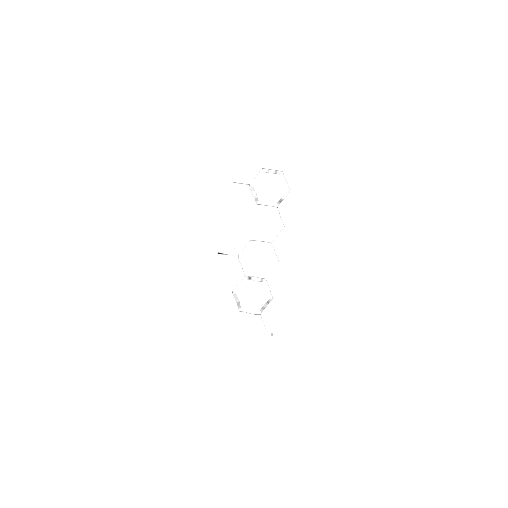 CCc1cccc(CC(C)C[C@H](C)c2ccc(OCC(C)C)cc2)c1